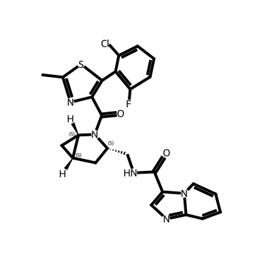 Cc1nc(C(=O)N2[C@H](CNC(=O)c3cnc4ccccn34)C[C@@H]3C[C@@H]32)c(-c2c(F)cccc2Cl)s1